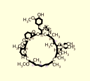 CC[Si](CC)(CC)OC1/C(C)=C/[C@@H](C)C(N=[N+]=[N-])C[C@@H]([C@H](N)C[C@@H]2CC[C@@H](O)[C@H](OC)C2)OC(=O)[C@@H]2CCCCN2C(=O)C(=O)[C@]2(O)O[C@@H](CC[C@H]2C)C[C@H](OC)/C(C)=C/C=C/C=C/[C@@H](C)C[C@@H](C)C(=O)[C@@H]1O